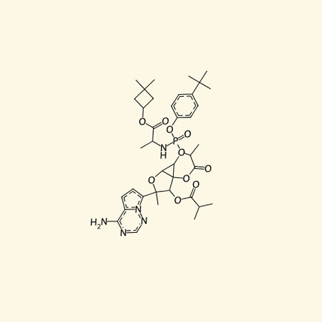 CC(C)C(=O)OC1C(C)(c2ccc3c(N)ncnn23)OC2C(OP(=O)(NC(C)C(=O)OC3CC(C)(C)C3)Oc3ccc(C(C)(C)C)cc3)C21OC(=O)C(C)C